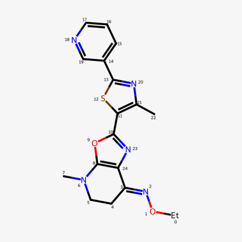 CCO/N=C1\CCN(C)c2oc(-c3sc(-c4cccnc4)nc3C)nc21